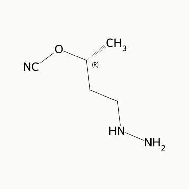 C[C@H](CCNN)OC#N